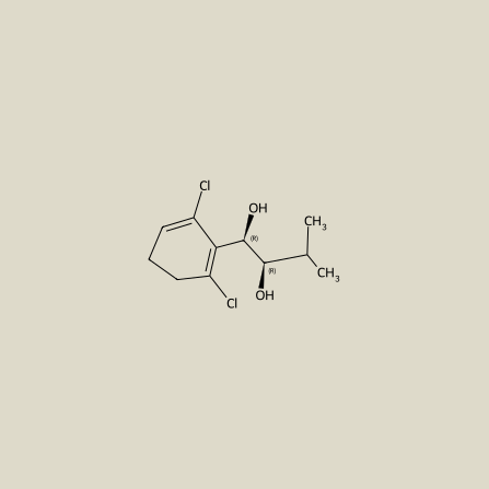 CC(C)[C@@H](O)[C@H](O)C1=C(Cl)CCC=C1Cl